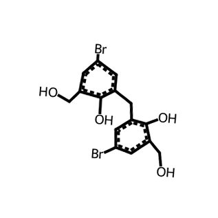 OCc1cc(Br)cc(Cc2cc(Br)cc(CO)c2O)c1O